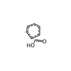 O=[C]O.[c]1ccccc1